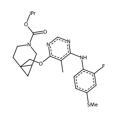 CSc1ccc(Nc2ncnc(OCC34CCN(C(=O)OC(C)C)CC3C4)c2C)c(F)c1